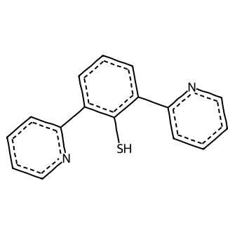 Sc1c(-c2ccccn2)cccc1-c1ccccn1